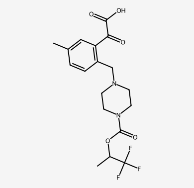 Cc1ccc(CN2CCN(C(=O)OC(C)C(F)(F)F)CC2)c(C(=O)C(=O)O)c1